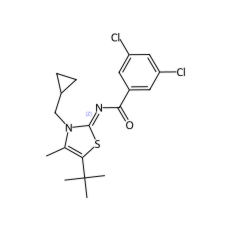 Cc1c(C(C)(C)C)s/c(=N\C(=O)c2cc(Cl)cc(Cl)c2)n1CC1CC1